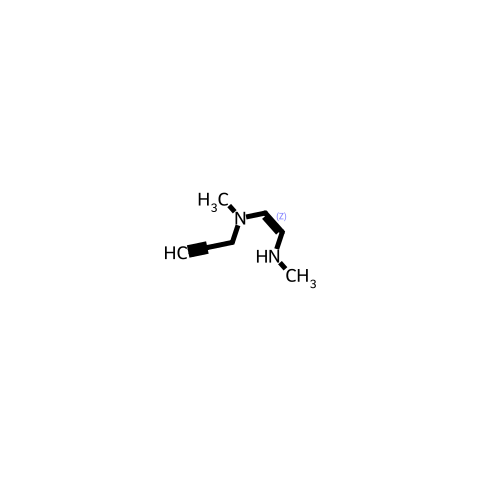 C#CCN(C)/C=C\NC